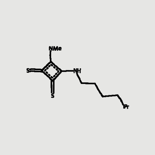 CNc1c(NCCCCC(C)C)c(=S)c1=S